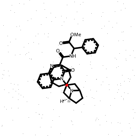 COC(=O)C(NC(=O)c1nc2ccccc2n(C2CC3CC[C@@H](C2)N3C2CCCCCCC2)c1=O)c1ccccc1